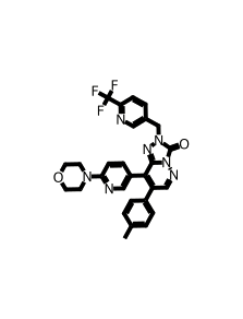 Cc1ccc(-c2cnn3c(=O)n(Cc4ccc(C(F)(F)F)nc4)nc3c2-c2ccc(N3CCOCC3)nc2)cc1